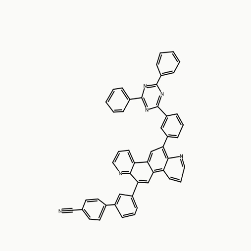 N#Cc1ccc(-c2cccc(-c3cc4c5cccnc5c(-c5cccc(-c6nc(-c7ccccc7)nc(-c7ccccc7)n6)c5)cc4c4cccnc34)c2)cc1